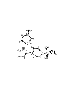 CS(=O)(=O)c1ccc(C2=CCC=C2c2ccc(Br)cc2)cc1